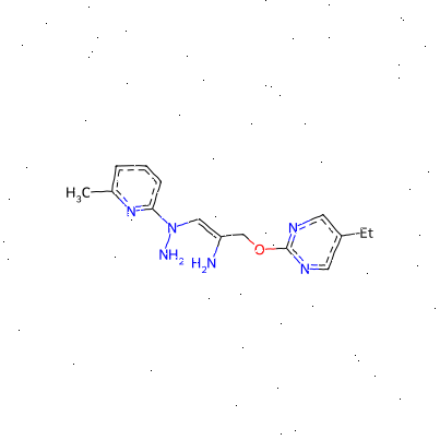 CCc1cnc(OC/C(N)=C/N(N)c2cccc(C)n2)nc1